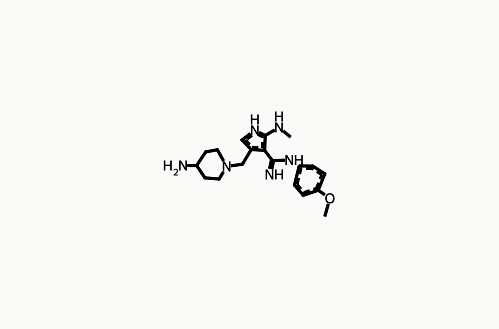 CNc1[nH]cc(CN2CCC(N)CC2)c1C(=N)Nc1ccc(OC)cc1